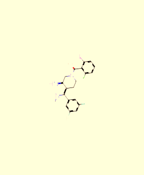 CN/C(=C1/CCN(C(=O)c2c(Cl)cccc2I)[C@@H](C)C1=N)c1cc(F)cc(F)c1